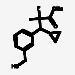 COC(=O)C(C)(F)C(c1cccc(CO)c1)C1CC1